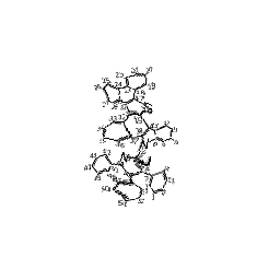 c1ccc(-c2nc(-n3c4ccccc4c4c5sc6c7ccccc7c7ccccc7c6c5c5ccccc5c43)nc(-c3ccccc3)c2-c2ccccc2)cc1